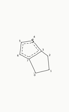 [CH]1CCc2sccc21